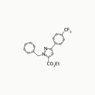 CCOC(=O)c1cc(-c2ccc(C(F)(F)F)cc2)nn1Cc1ccccc1